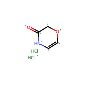 Cl.Cl.O=C1COC=CN1